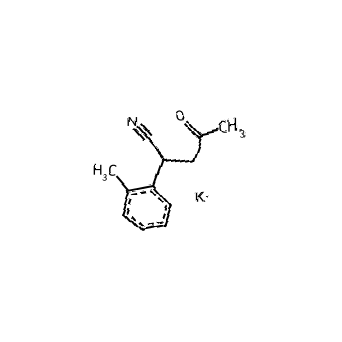 CC(=O)CC(C#N)c1ccccc1C.[K]